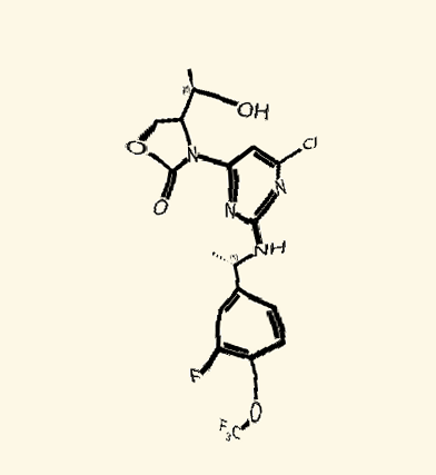 C[C@H](Nc1nc(Cl)cc(N2C(=O)OCC2[C@@H](C)O)n1)c1ccc(OC(F)(F)F)c(F)c1